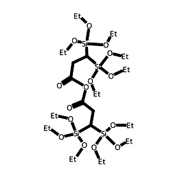 CCO[Si](OCC)(OCC)C(CC(=O)OC(=O)CC([Si](OCC)(OCC)OCC)[Si](OCC)(OCC)OCC)[Si](OCC)(OCC)OCC